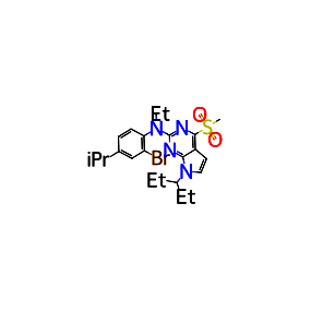 CCC(CC)n1ccc2c(S(C)(=O)=O)nc(N(CC)c3ccc(C(C)C)cc3Br)nc21